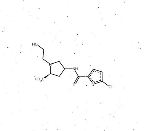 O=C(NC1C[C@@H](C(=O)O)N(CCO)C1)c1ccc(Cl)s1